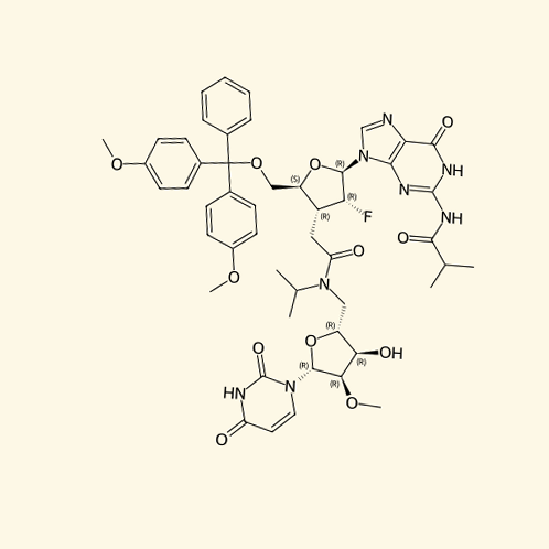 COc1ccc(C(OC[C@H]2O[C@@H](n3cnc4c(=O)[nH]c(NC(=O)C(C)C)nc43)[C@H](F)[C@@H]2CC(=O)N(C[C@H]2O[C@@H](n3ccc(=O)[nH]c3=O)[C@H](OC)[C@@H]2O)C(C)C)(c2ccccc2)c2ccc(OC)cc2)cc1